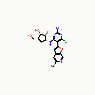 Cc1cc2cc(-c3c(Cl)nc(N)nc3N[C@@H]3C[C@H](CO)[C@@H](O)[C@H]3O)oc2cn1